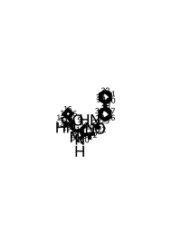 CC1(C)c2[nH]nc(NC(=O)C3([Si](C)(C)C)CCC3)c2CN1C(=O)Nc1cccc(-c2ccccc2)c1